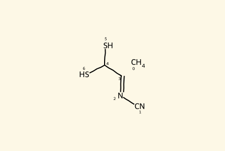 C.N#CN=CC(S)S